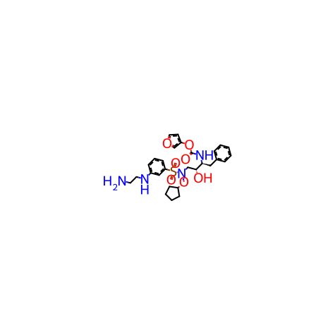 NCCNc1cccc(S(=O)(=O)N(C[C@@H](O)[C@H](Cc2ccccc2)NC(=O)Oc2ccoc2)OC2CCCC2)c1